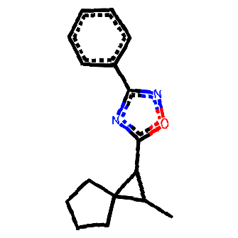 CC1C(c2nc(-c3ccccc3)no2)C12CCCC2